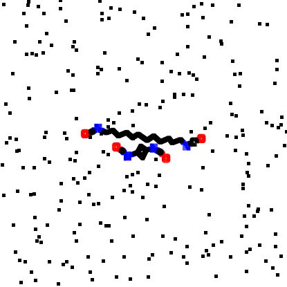 O=C=NC1CC(N=C=O)C1.O=C=NCCCCCCCCCCCCN=C=O